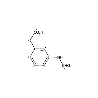 O=CNc1cccc(CC(=O)O)c1